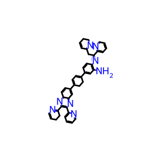 Nc1cc(C2=CC=C(c3ccc4nc(C5=NC=CCC5)c(-c5ccccn5)nc4c3)CC2)ccc1/N=C(\CC1=NCCC=C1)c1ccccn1